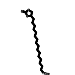 CCCCCCCCCCCCCCCCCCCCCCCCCCC1COC(=O)O1